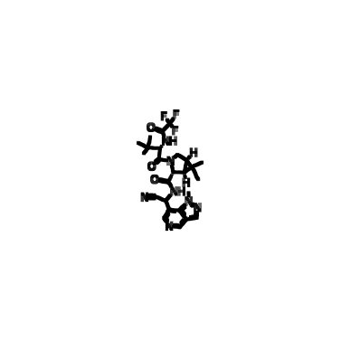 Cn1ncc2cncc(C(C#N)NC(=O)[C@@H]3[C@@H]4[C@H](CN3C(=O)[C@@H](NC(=O)C(F)(F)F)C(C)(C)C)C4(C)C)c21